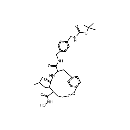 CC(C)CC1C(=O)NC(C(=O)NCc2ccc(CNC(=O)OC(C)(C)C)cc2)Cc2ccc(cc2)OCCCC1C(=O)NO